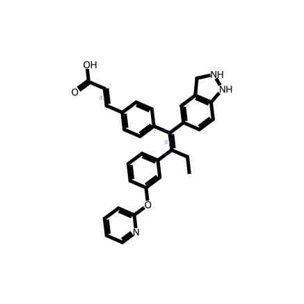 CC/C(=C(/c1ccc(/C=C/C(=O)O)cc1)c1ccc2c(c1)CNN2)c1cccc(Oc2ccccn2)c1